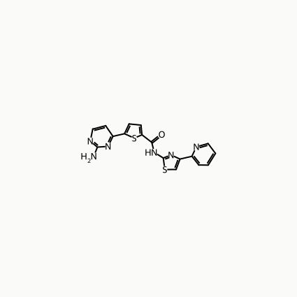 Nc1nccc(-c2ccc(C(=O)Nc3nc(-c4ccccn4)cs3)s2)n1